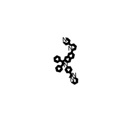 c1ccc(-c2c(-c3ccccc3)n(-c3ccc(-c4cn5ccccc5n4)cc3)c3cc4ccc(-c5cccc(-c6ccncc6)n5)cc4cc23)cc1